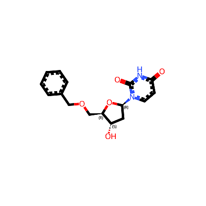 O=c1ccn([C@H]2C[C@H](O)[C@@H](COCc3ccccc3)O2)c(=O)[nH]1